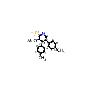 COc1c(P)ncc(-c2ccc(C)cc2)c1-c1ccc(C)cc1